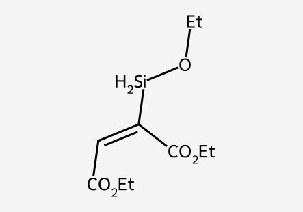 CCO[SiH2]/C(=C/C(=O)OCC)C(=O)OCC